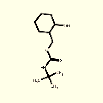 CC(C)(C)NC(=O)OCC1CCCCC1O